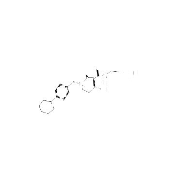 O=C(O)CNC(=O)C1=C(O)CCN(Cc2ccc(C3CCCCC3)cc2)C1=O